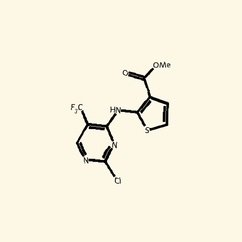 COC(=O)c1ccsc1Nc1nc(Cl)ncc1C(F)(F)F